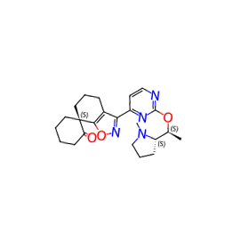 C[C@H](Oc1nccc(-c2noc3c2CCC[C@@]32CCCCC2=O)n1)[C@@H]1CCCN1C